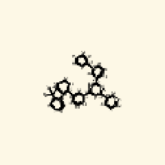 CC1(C)c2ccccc2-c2c(-c3cccc(-c4cc(-c5cccnc5)nc(-c5cccc(-c6ccccc6)c5)n4)c3)cccc21